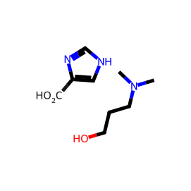 CN(C)CCCO.O=C(O)c1c[nH]cn1